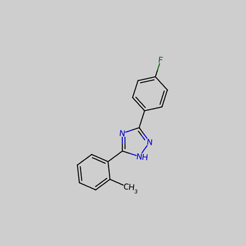 Cc1ccccc1-c1nc(-c2ccc(F)cc2)n[nH]1